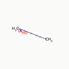 CCCCCCC/C=C/CC/C=C/CCCC/C=C/CCCCC(O)C/C=C/CCC(CCCC)N=O